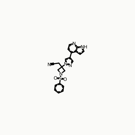 N#CCC1(n2cc(-c3ccnc4[nH]ccc34)cn2)CN(S(=O)(=O)c2ccccc2)C1